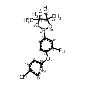 CC1(C)OB(c2ccc(Oc3ccc(Cl)cn3)c(F)c2)OC1(C)C